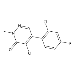 Cn1ncc(-c2ccc(F)cc2Cl)c(Cl)c1=O